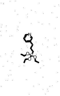 CCO[Si](CCCc1cccnc1)(OCC)OCC